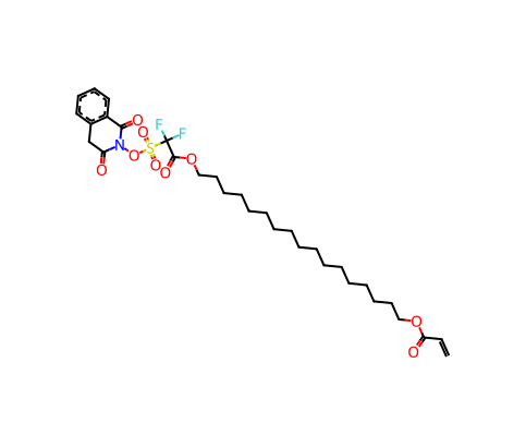 C=CC(=O)OCCCCCCCCCCCCCCCCCOC(=O)C(F)(F)S(=O)(=O)ON1C(=O)Cc2ccccc2C1=O